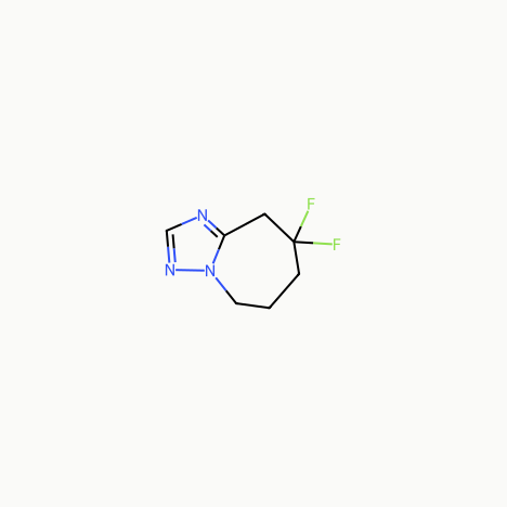 FC1(F)CCCn2ncnc2C1